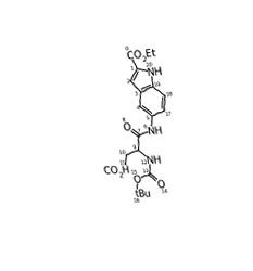 CCOC(=O)c1cc2cc(NC(=O)C(CC(=O)O)NC(=O)OC(C)(C)C)ccc2[nH]1